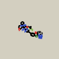 CC(Cn1cnnn1)Oc1cc(-c2cnc(Nc3cn(C4(N5CCOCC5)CCCCC4)nc3OC[C@@H]3CC3(F)F)nc2)ccc1Cl